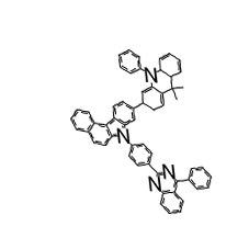 CC1(C)C2=CCC(c3ccc4c5c6ccccc6ccc5n(-c5ccc(-c6nc(-c7ccccc7)c7ccccc7n6)cc5)c4c3)C=C2N(c2ccccc2)C2C=CC=CC21